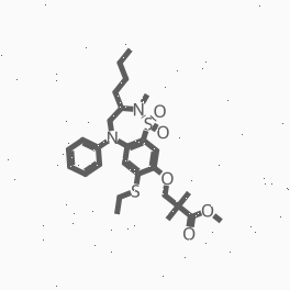 CCCCC1CN(c2ccccc2)c2cc(SCC)c(OCC(C)(C)C(=O)OC)cc2S(=O)(=O)N1C